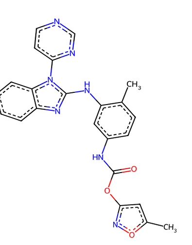 Cc1cc(OC(=O)Nc2ccc(C)c(Nc3nc4ccccc4n3-c3ccncn3)c2)no1